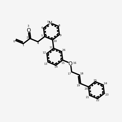 C=CC(=O)Cc1cnccc1-c1cccc(OCC=Cc2ccccc2)c1